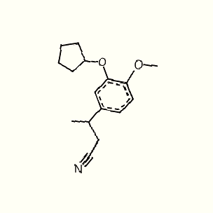 COc1ccc(C(C)CC#N)cc1OC1CCCC1